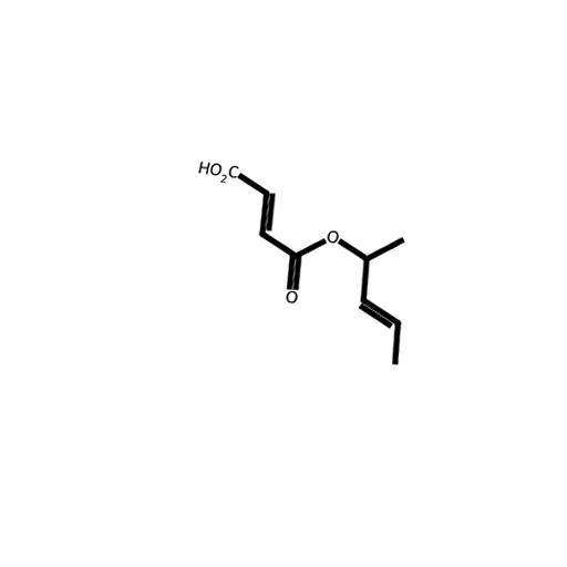 CC=CC(C)OC(=O)C=CC(=O)O